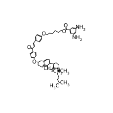 CC(C)CCC[C@@H](C)[C@H]1CCC2C3CC=C4CC(Oc5ccc(C(=O)C=Cc6ccc(OCCCCCCOC(=O)c7cc(N)cc(N)c7)cc6)cc5)CC[C@]4(C)C3CC[C@@]21C